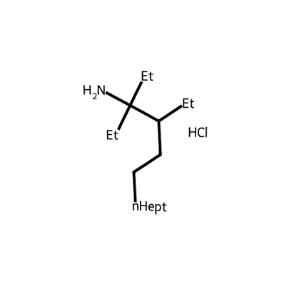 CCCCCCCCCC(CC)C(N)(CC)CC.Cl